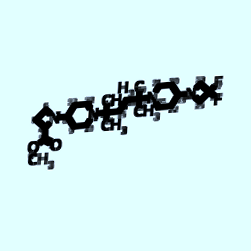 COC(=O)C1CCN1C1CCN(C(C)(C)CCC(C)(C)N2CCC(N3CC(F)(F)C3)CC2)CC1